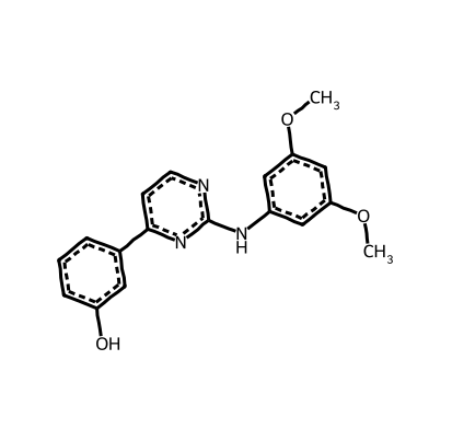 COc1cc(Nc2nccc(-c3cccc(O)c3)n2)cc(OC)c1